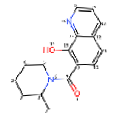 CC1CCCCN1C(=O)c1ccc2cccnc2c1O